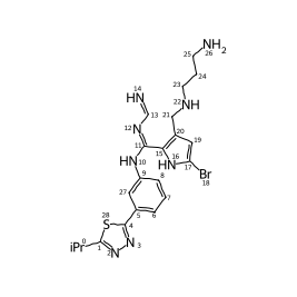 CC(C)c1nnc(-c2cccc(N/C(=N/C=N)c3[nH]c(Br)cc3CNCCCN)c2)s1